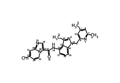 Cc1cc(C)nc(Cn2nc(C)c3c(NC(=O)c4cnc5cc(Cl)ccn45)cccc32)c1